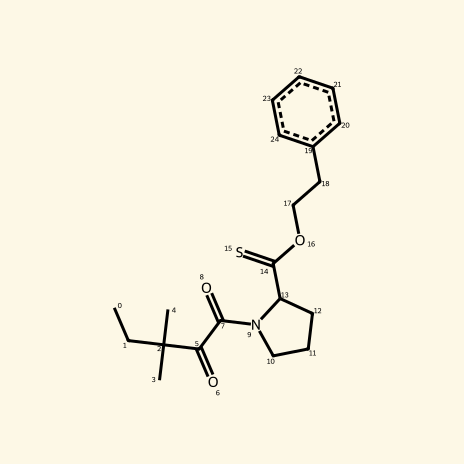 CCC(C)(C)C(=O)C(=O)N1CCCC1C(=S)OCCc1ccccc1